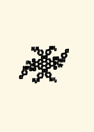 CC(C)C(C(=O)Nc1ccc(Cl)cc1)N1C(=O)c2cc(Oc3ccc(N)cc3)c3c4c(Oc5ccc(N)cc5)cc5c6c(cc(Oc7ccc(N)cc7)c(c7c(Oc8ccc(N)cc8)cc(c2c37)C1=O)c64)C(=O)N(C(C(=O)Nc1ccc(Cl)cc1)C(C)C)C5=O